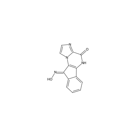 O=c1[nH]c2c(n3ccnc13)C(=NO)c1ccccc1-2